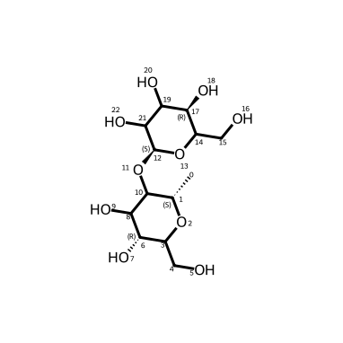 C[C@@H]1OC(CO)[C@H](O)C(O)C1O[C@@H]1OC(CO)[C@H](O)C(O)C1O